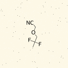 CC(F)(F)COCC#N